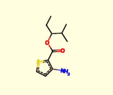 CCC(OC(=O)c1sccc1N)C(C)C